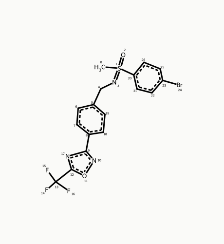 CS(=O)(=NCc1ccc(-c2noc(C(F)(F)F)n2)cc1)c1ccc(Br)cc1